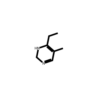 CCC1=C(C)C=NCN1